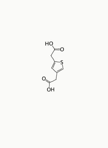 O=C(O)Cc1csc(CC(=O)O)c1